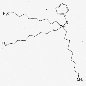 CCCCCCCCCC[PH](CCCCCCCCCC)(CCCCCCCCCC)Sc1ccccc1